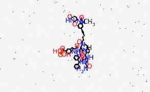 Cn1c(=O)n(C2CCC(=O)NC2=O)c2ccc(C#CCCCC(=O)N3CC[C@H]4CC[C@@H](C(=O)N[C@@H](CCC(N)=O)C(=O)NC(c5ccccc5)c5ccccc5)N4C(=O)[C@@H](NC(=O)c4cc5cc(C(=O)P(=O)(O)O)ccc5[nH]4)C3)cc21